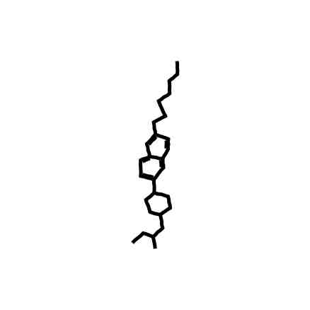 CCCCCCCc1ccc2cc(C3CCC(CC(C)CC)CC3)ccc2c1